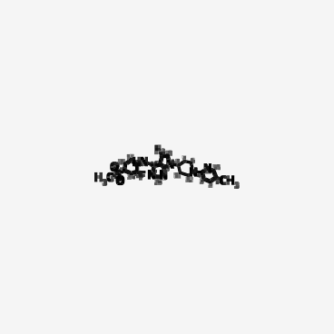 Cc1ccc(N2CCC(n3cc(F)c4c(Nc5ccc(S(C)(=O)=O)cc5F)ncnc43)CC2)nc1